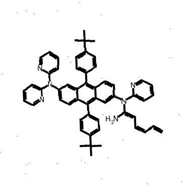 C=C/C=C\C=C(/N)N(c1ccc2c(-c3ccc(C(C)(C)C)cc3)c3cc(N(c4ccccn4)c4ccccn4)ccc3c(-c3ccc(C(C)(C)C)cc3)c2c1)c1ccccn1